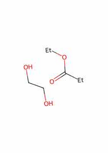 CCOC(=O)CC.OCCO